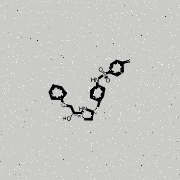 O=S(=O)(Nc1ccc(C[C@@H]2CC[C@H]([C@H](O)COc3ccccc3)N2)cc1)c1ccc(I)cc1